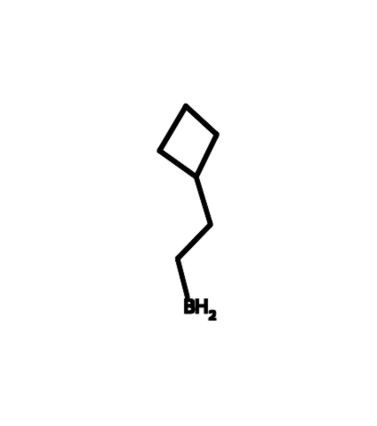 BCCC1CCC1